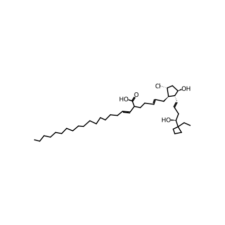 CCCCCCCCCCCCCCCCC=CC(CCC=CC[C@@H]1[C@@H](C=CC[C@H](O)C2(CC)CCC2)[C@H](O)C[C@H]1Cl)C(=O)O